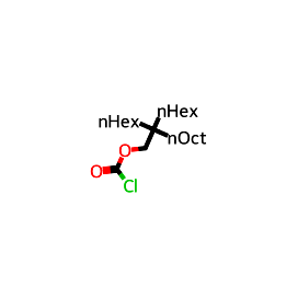 CCCCCCCCC(CCCCCC)(CCCCCC)COC(=O)Cl